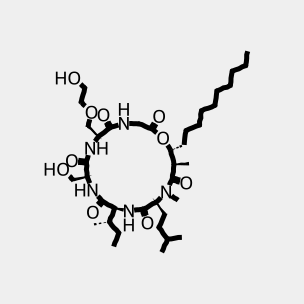 CCCCCCCCCC[C@H]1OC(=O)CNC(=O)[C@H](COCCO)NC(=O)[C@H](CO)NC(=O)[C@H]([C@@H](C)CC)NC(=O)[C@H](CCC(C)C)N(C)C(=O)[C@@H]1C